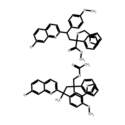 COC(=O)C(CC(c1ccc(OC)cc1)c1ccc2ccc(Cl)cc2n1)(OCc1cccs1)c1ccccc1.COc1ccc(C(C)(CC(COC(C)=O)(OCc2cccs2)c2ccccc2)c2ccc3ccc(Cl)cc3n2)cc1